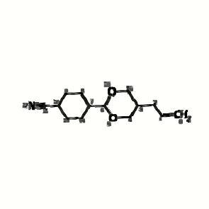 C=CCC1COC(C2CCC(C#N)CC2)OC1